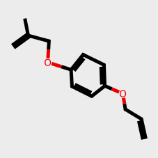 C=CCOc1ccc(OCC(=C)C)cc1